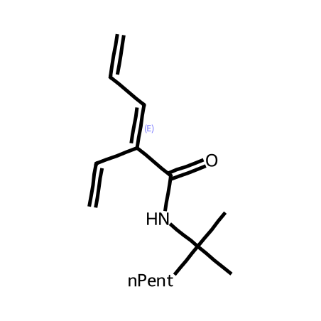 C=C/C=C(\C=C)C(=O)NC(C)(C)CCCCC